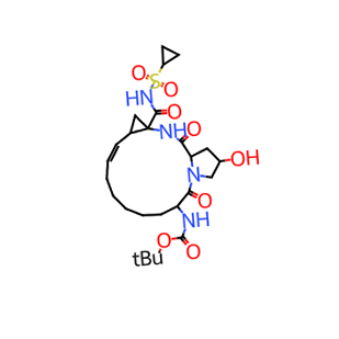 CC(C)(C)OC(=O)NC1CCCCCC=CC2CC2(C(=O)NS(=O)(=O)C2CC2)NC(=O)C2CC(O)CN2C1=O